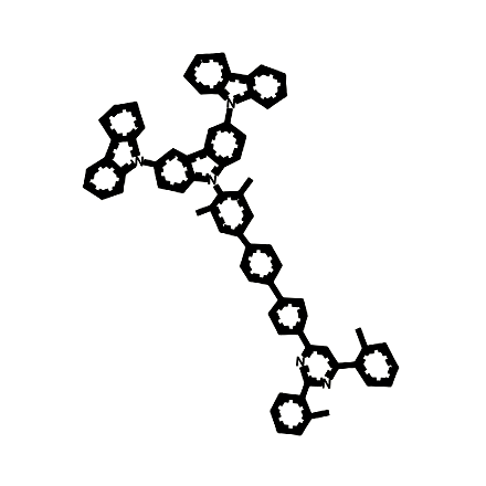 Cc1ccccc1-c1cc(-c2ccc(-c3ccc(-c4cc(C)c(-n5c6ccc(-n7c8ccccc8c8ccccc87)cc6c6cc(-n7c8ccccc8c8ccccc87)ccc65)c(C)c4)cc3)cc2)nc(-c2ccccc2C)n1